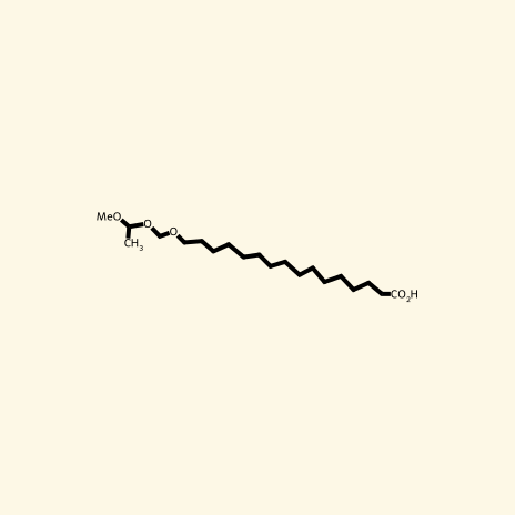 COC(C)OCOCCCCCCCCCCCCCCCC(=O)O